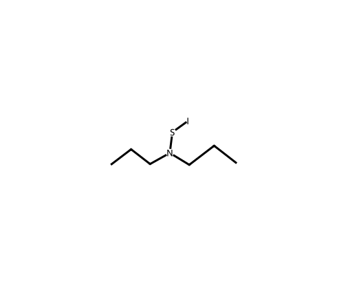 CCCN(CCC)SI